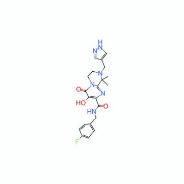 CC1(C)c2nc(C(=O)NCc3ccc(F)cc3)c(O)c(=O)n2CCN1Cc1cn[nH]c1